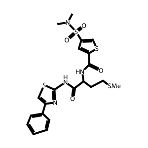 CSCCC(NC(=O)c1cc(S(=O)(=O)N(C)C)cs1)C(=O)Nc1nc(-c2ccccc2)cs1